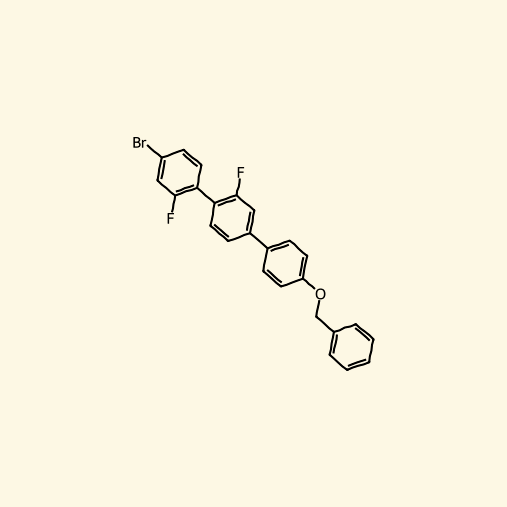 Fc1cc(Br)ccc1-c1ccc(-c2ccc(OCc3ccccc3)cc2)cc1F